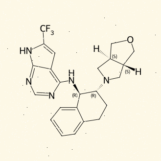 FC(F)(F)c1cc2c(N[C@@H]3c4ccccc4CC[C@H]3N3C[C@H]4COC[C@@H]4C3)ncnc2[nH]1